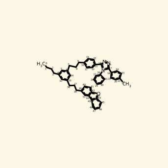 CCCCc1cc(CCCc2ccc(-c3nnc(-c4ccc(C)cc4)n3-c3ccccc3)cc2)cc(CCCc2ccc3oc4ccccc4c3c2)c1